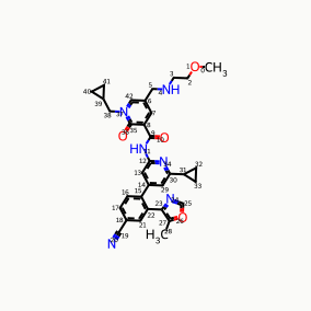 COCCNCc1cc(C(=O)Nc2cc(-c3ccc(C#N)cc3-c3ncoc3C)cc(C3CC3)n2)c(=O)n(CC2CC2)c1